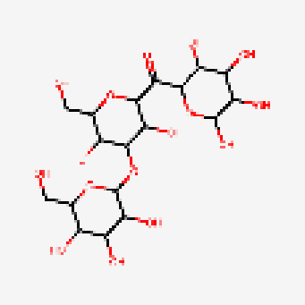 O=C(C1OC(O)C(O)C(O)C1O)C1OC(CO)C(O)C(OC2OC(CO)C(O)C(O)C2O)C1O